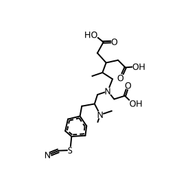 CC(CN(CC(=O)O)CC(Cc1ccc(SC#N)cc1)N(C)C)C(CC(=O)O)CC(=O)O